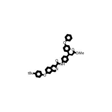 COC(=O)CC(c1ccc(NC(=O)c2cc3ccc(Oc4ccc(C(C)(C)C)cc4)cc3cn2)cc1)c1ccc(Oc2ccccc2)cc1